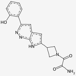 NC(=O)C(=O)N1CC(c2cc3cc(-c4ccccc4O)nnc3[nH]2)C1